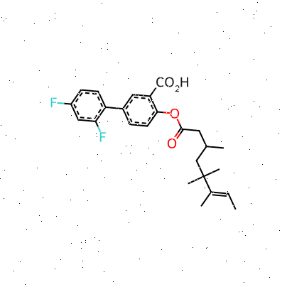 C/C=C(\C)C(C)(C)CC(C)CC(=O)Oc1ccc(-c2ccc(F)cc2F)cc1C(=O)O